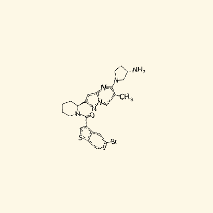 Cc1cn2nc([C@@H]3CCCCN3C(=O)c3csc4ccc(Br)cc34)cc2nc1N1CC[C@H](N)C1